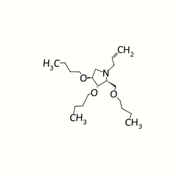 C=CCN1C[C@H](OCCCC)[C@@H](OCCCC)[C@@H]1COCCCC